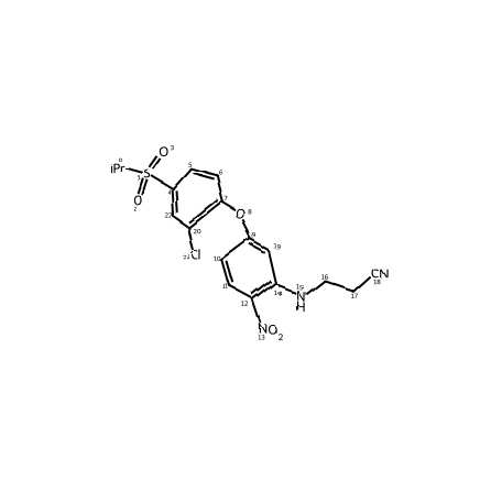 CC(C)S(=O)(=O)c1ccc(Oc2ccc([N+](=O)[O-])c(NCCC#N)c2)c(Cl)c1